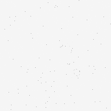 CCCCCCCCCCCCCCCCc1cccc[c]1[K].O=C(O)CC(C(=O)O)S(=O)(=O)O